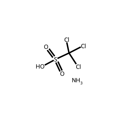 N.O=S(=O)(O)C(Cl)(Cl)Cl